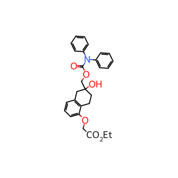 CCOC(=O)COc1cccc2c1CCC(O)(COC(=O)N(c1ccccc1)c1ccccc1)C2